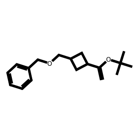 C=C(OC(C)(C)C)C1CC(COCc2ccccc2)C1